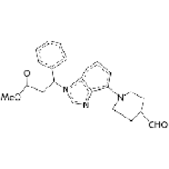 COC(=O)CC(c1ccccc1)n1cnc2c(N3CCC(C=O)CC3)cccc21